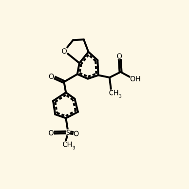 CC(C(=O)O)c1cc2c(c(C(=O)c3ccc(S(C)(=O)=O)cc3)c1)OCC2